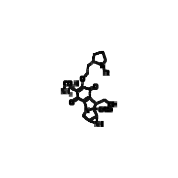 CCN1CCCC1CCOC1=C(C)C(=O)C2=C(C1=O)C(CO)C1(OC)C3NC3CN21.NC(=O)O